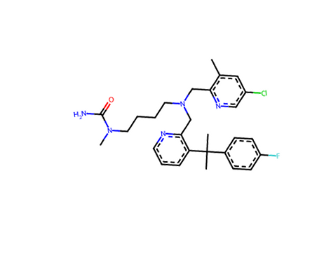 Cc1cc(Cl)cnc1CN(CCCCN(C)C(N)=O)Cc1ncccc1C(C)(C)c1ccc(F)cc1